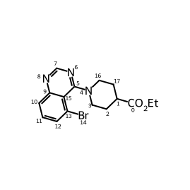 CCOC(=O)C1CCN(c2ncnc3cccc(Br)c23)CC1